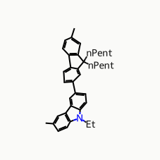 CCCCCC1(CCCCC)c2cc(C)ccc2-c2ccc(-c3ccc4c(c3)c3cc(C)ccc3n4CC)cc21